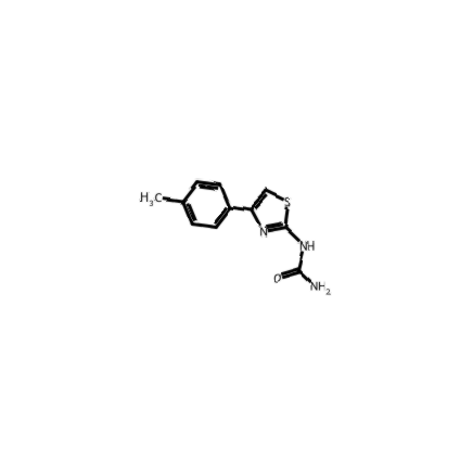 Cc1ccc(-c2csc(NC(N)=O)n2)cc1